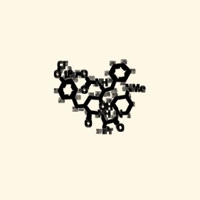 CNC1CCN(C(=O)C(NC(=O)C(Cc2ccc(OC(F)(F)F)cc2)CC(O)C(Cc2ccccc2)NC(=O)OC(C)(C)C)C(C)C)CC1